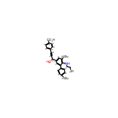 CC(C)CCNc1c(-c2ccc(C(C)(C)C)cc2)cc(C(O)C#Cc2ccc(C(=O)O)cc2)cc1C(C)(C)C